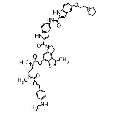 CNc1ccc(COC(=O)N(C)CCN(C)C(=O)Oc2cc3c(c4c(C)csc24)CCN3C(=O)c2cc3cc(NC(=O)c4cc5cc(OCCN6CCCC6)ccc5[nH]4)ccc3[nH]2)cc1